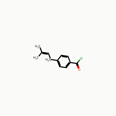 CC(C)=C[SiH2]c1ccc(C(=O)Cl)cc1